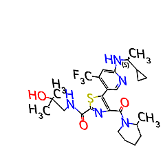 CC1CCCCN1C(=O)c1nc(C(=O)NCC(C)(C)O)sc1-c1cnc(N[C@@H](C)C2CC2)cc1C(F)(F)F